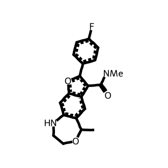 CNC(=O)c1c(-c2ccc(F)cc2)oc2cc3c(cc12)C(C)OCCN3